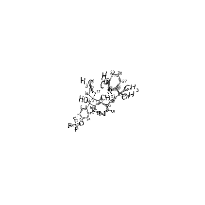 CCC1(C(O)(c2ccc(OC(F)(F)F)cc2)c2cncc(C#CC(C)(O)c3cccc(C)n3)c2)CN(C)C1